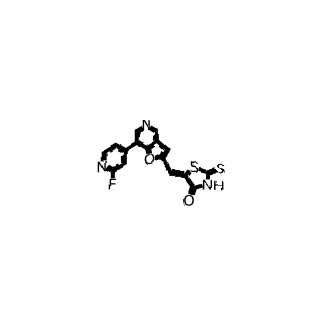 O=C1NC(=S)S/C1=C\c1cc2cncc(-c3ccnc(F)c3)c2o1